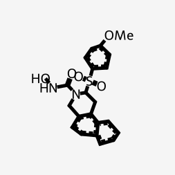 COc1ccc(S(=O)(=O)C2Cc3c(ccc4ccccc34)CN2C(=O)NO)cc1